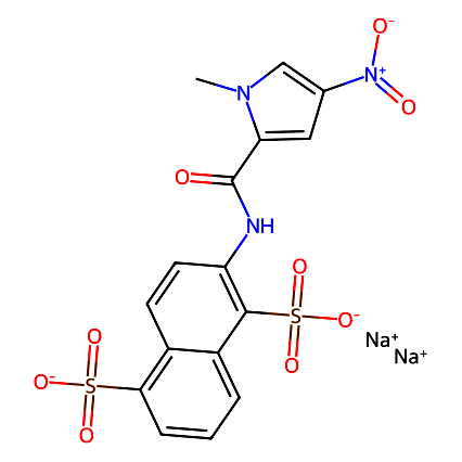 Cn1cc([N+](=O)[O-])cc1C(=O)Nc1ccc2c(S(=O)(=O)[O-])cccc2c1S(=O)(=O)[O-].[Na+].[Na+]